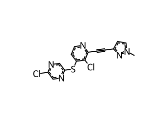 Cn1ccc(C#Cc2nccc(Sc3cnc(Cl)cn3)c2Cl)n1